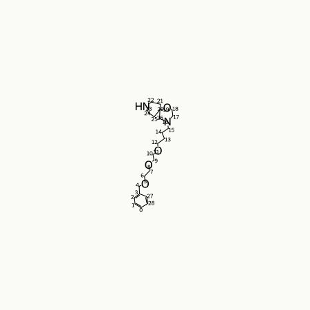 c1ccc(COCCOCCOCCCCN2CCOC3(CCNCC3)C2)cc1